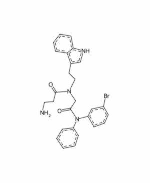 NCCC(=O)N(CCc1c[nH]c2ccccc12)CC(=O)N(c1ccccc1)c1cccc(Br)c1